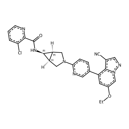 CCOc1cc(-c2ccc(N3C[C@@H]4[C@H](C3)[C@@H]4NC(=O)c3ncccc3Cl)nc2)c2c(C#N)cnn2c1